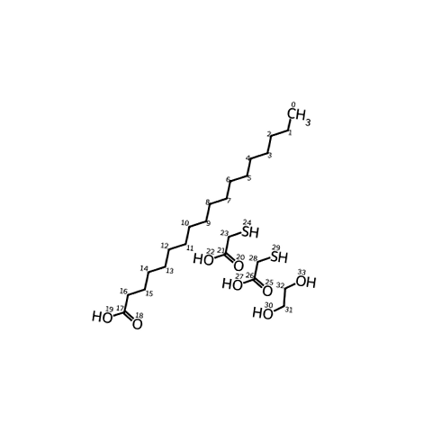 CCCCCCCCCCCCCCCCCC(=O)O.O=C(O)CS.O=C(O)CS.OCCO